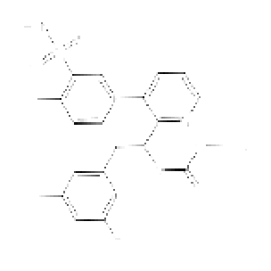 CC(C)(C)OC(=O)NC(Cc1cc(F)cc(F)c1)c1ncccc1-c1ccc(F)c(S(N)(=O)=O)c1